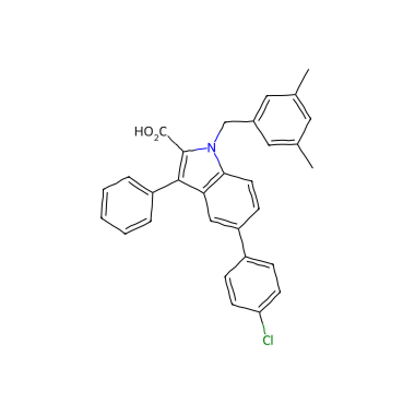 Cc1cc(C)cc(Cn2c(C(=O)O)c(-c3ccccc3)c3cc(-c4ccc(Cl)cc4)ccc32)c1